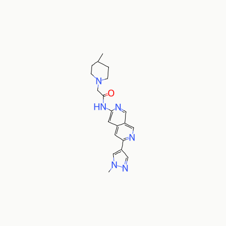 CC1CCN(CC(=O)Nc2cc3cc(-c4cnn(C)c4)ncc3cn2)CC1